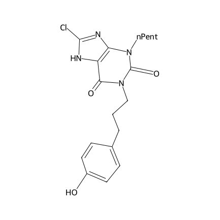 CCCCCn1c(=O)n(CCCc2ccc(O)cc2)c(=O)c2[nH]c(Cl)nc21